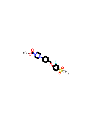 CC(C)(C)OC(=O)N1CCN(C2CCC(COc3ccc(S(C)(=O)=O)cc3F)CC2)CC1